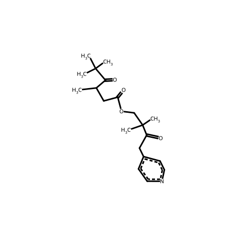 CC(CC(=O)OCC(C)(C)C(=O)Cc1ccncc1)C(=O)C(C)(C)C